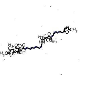 COC(C)CN(C)C(=O)C1(N(O)C(=O)/C=C/C=C/C=C/C=C\CNC(=O)C(C)(C)C(=O)\C(C)=C/C=C\C=C\Cc2cnc(C)o2)COCO1